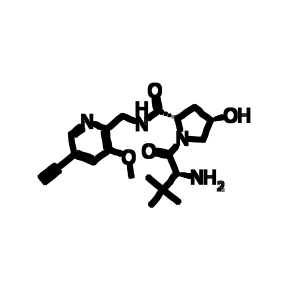 C#Cc1cnc(CNC(=O)[C@@H]2C[C@@H](O)CN2C(=O)[C@@H](N)C(C)(C)C)c(OC)c1